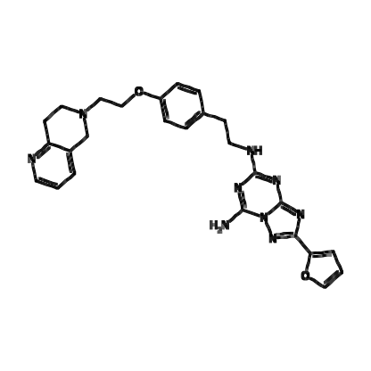 Nc1nc(NCCc2ccc(OCCN3CCc4ncccc4C3)cc2)nc2nc(-c3ccco3)nn12